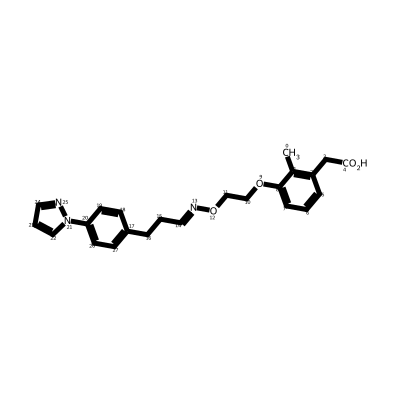 Cc1c(CC(=O)O)cccc1OCCO/N=C/CCc1ccc(-n2cccn2)cc1